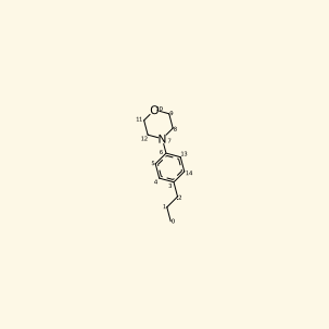 CC[CH]c1ccc(N2CCOCC2)cc1